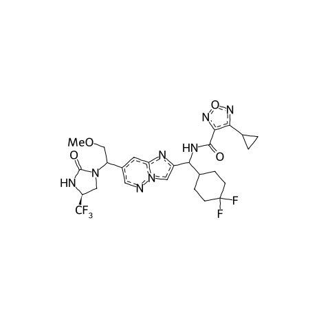 COCC(c1cnn2cc(C(NC(=O)c3nonc3C3CC3)C3CCC(F)(F)CC3)nc2c1)N1C[C@@H](C(F)(F)F)NC1=O